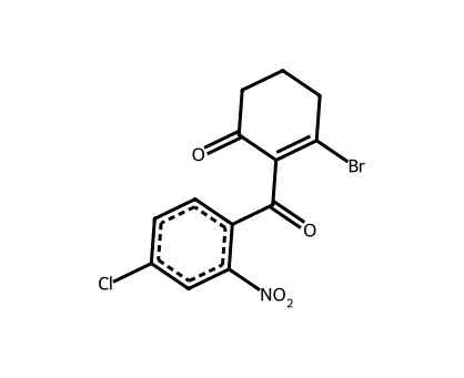 O=C1CCCC(Br)=C1C(=O)c1ccc(Cl)cc1[N+](=O)[O-]